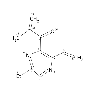 C=Cc1ncc(CC)nc1C(=O)C(=C)C